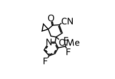 COC1(c2ncc(F)cc2C(F)F)C=C(C#N)C(=O)C2(CC2)C1